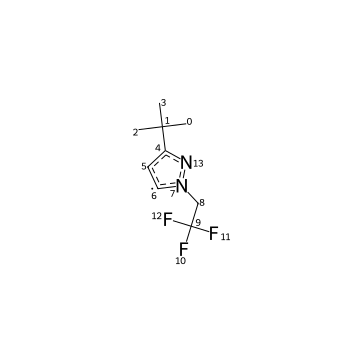 CC(C)(C)c1c[c]n(CC(F)(F)F)n1